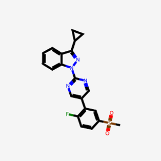 CS(=O)(=O)c1ccc(F)c(-c2cnc(-n3nc(C4CC4)c4cc[c]cc43)nc2)c1